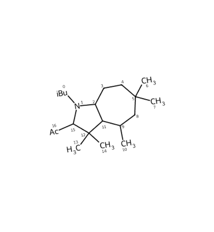 CCC(C)N1C2CCC(C)(C)CC(C)C2C(C)(C)C1C(C)=O